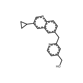 OCc1ccnc(Cc2ccc3ncc(C4CC4)cc3c2)c1